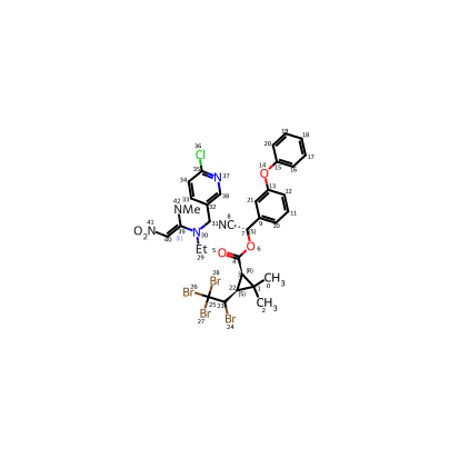 CC1(C)[C@H](C(=O)O[C@H](C#N)c2cccc(Oc3ccccc3)c2)[C@@H]1C(Br)C(Br)(Br)Br.CCN(Cc1ccc(Cl)nc1)/C(=C/[N+](=O)[O-])NC